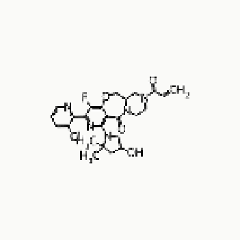 C=CC(=O)N1CCN2C(=O)c3c(N4CC(O)CC4(C)C)nc(-c4ncccc4Cl)c(F)c3OCC2C1